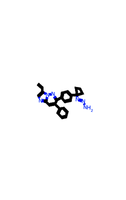 C=Cc1cnc2cc(-c3ccccc3)c(-c3ccc(C4(N=NN)CCC4)cc3)nn12